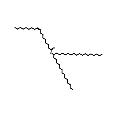 CCCCCCCC/C=C\CCCCCCCC(=O)OC(CCCCCCCCCCCCCC)CCCCCCCCCCCCCCCCC